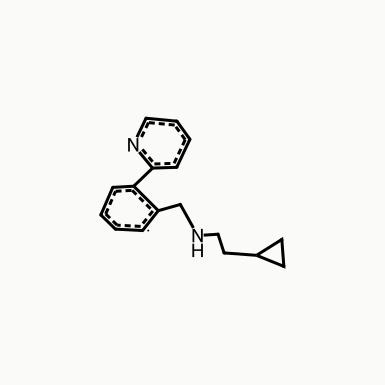 [c]1cccc(-c2ccccn2)c1CNCCC1CC1